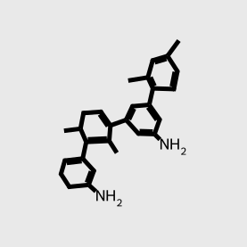 CC1=C(C2=CCCC(N)=C2)C(C)CC=C1c1cc(N)cc(-c2ccc(C)cc2C)c1